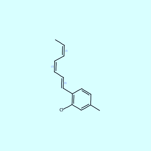 C\C=C/C=C\C=C\c1ccc(C)cc1Cl